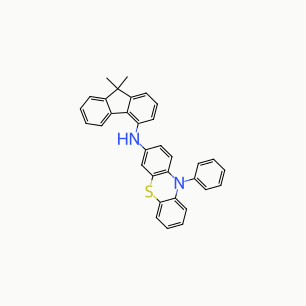 CC1(C)c2ccccc2-c2c(Nc3ccc4c(c3)Sc3ccccc3N4c3ccccc3)cccc21